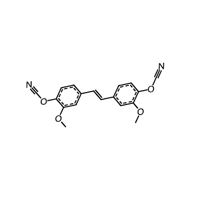 COc1cc(C=Cc2ccc(OC#N)c(OC)c2)ccc1OC#N